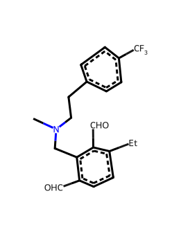 CCc1ccc(C=O)c(CN(C)CCc2ccc(C(F)(F)F)cc2)c1C=O